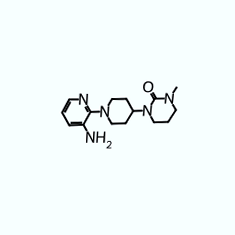 CN1CCCN(C2CCN(c3ncccc3N)CC2)C1=O